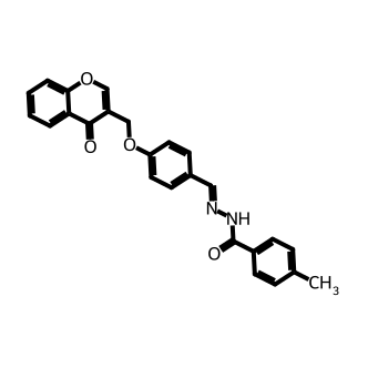 Cc1ccc(C(=O)N/N=C/c2ccc(OCc3coc4ccccc4c3=O)cc2)cc1